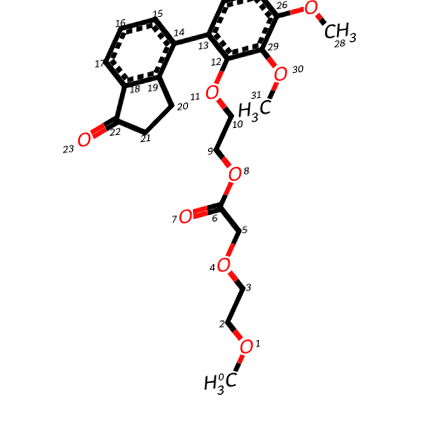 COCCOCC(=O)OCCOc1c(-c2cccc3c2CCC3=O)ccc(OC)c1OC